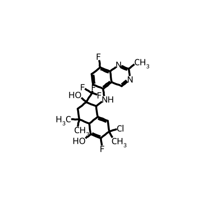 Cc1ncc2c(NC3C4=CC(C)(Cl)C(F)=C(O)C4C(C)(C)CC3(O)C(F)(F)F)ccc(F)c2n1